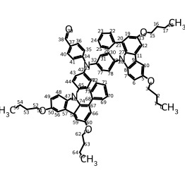 CCCCOc1ccc2c(c1)c1cc(OCCCC)cc(-c3ccccc3)c1n2-c1ccc(N(c2ccc(C=O)cc2)c2ccc(-n3c4ccc(OCCCC)cc4c4cc(OCCCC)cc(-c5ccccc5)c43)cc2)cc1